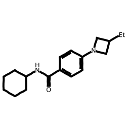 CCC1CN(c2ccc(C(=O)NC3CCCCC3)cc2)C1